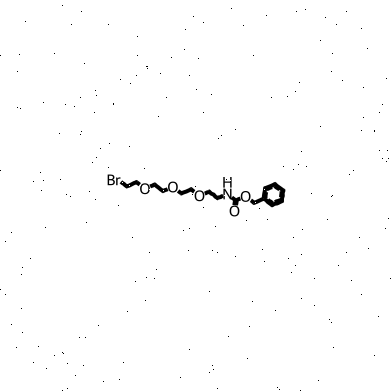 O=C(NCCOCCOCCOCCBr)OCc1ccccc1